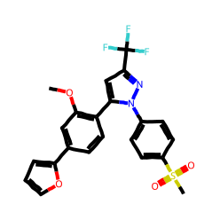 COc1cc(-c2ccco2)ccc1-c1cc(C(F)(F)F)nn1-c1ccc(S(C)(=O)=O)cc1